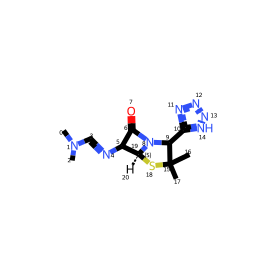 CN(C)C=NC1C(=O)N2C(c3nnn[nH]3)C(C)(C)S[C@@H]12